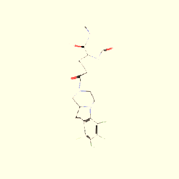 CNC(=O)C(CCC(=O)N1CCN2c3c(Cl)c(Cl)c(Cl)c(F)c3CC2C1)NC=O